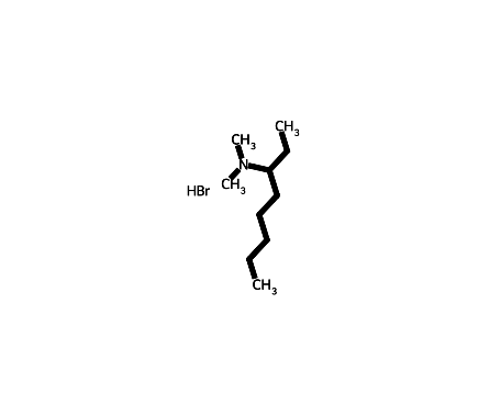 Br.CCCCCC(CC)N(C)C